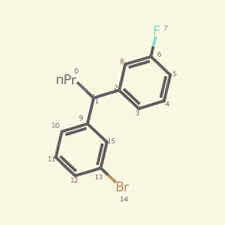 CCC[C](c1cccc(F)c1)c1cccc(Br)c1